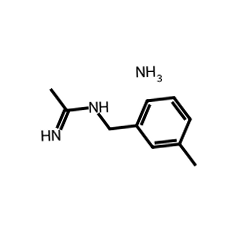 CC(=N)NCc1cccc(C)c1.N